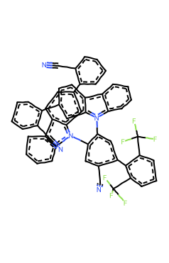 N#Cc1ccccc1-c1ccc2c3ccccc3n(-c3cc(C#N)c(-c4c(C(F)(F)F)cccc4C(F)(F)F)cc3-n3c4ccccc4c4ccc(-c5ccccc5C#N)cc43)c2c1